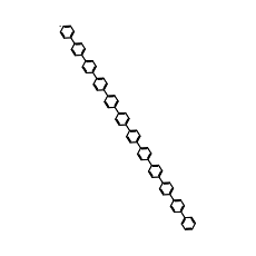 [c]1ccc(-c2ccc(-c3ccc(-c4ccc(-c5ccc(-c6ccc(-c7ccc(-c8ccc(-c9ccc(-c%10ccc(-c%11ccc(-c%12ccccc%12)cc%11)cc%10)cc9)cc8)cc7)cc6)cc5)cc4)cc3)cc2)cc1